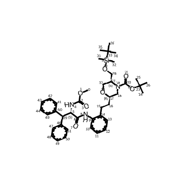 COC(=O)N[C@H](C(=O)Nc1ccccc1CC[C@@H]1CN(C(=O)OC(C)(C)C)[C@H](CO[Si](C)(C)C(C)(C)C)CO1)C(c1ccccc1)c1ccccc1